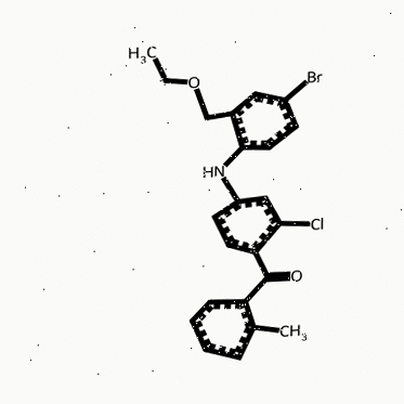 C[CH]OCc1cc(Br)ccc1Nc1ccc(C(=O)c2ccccc2C)c(Cl)c1